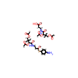 CC(=O)OCC(C)(C)C(OC(C)=O)C(=O)NCCC(=O)O.CC(=O)OCC(C)(C)C(OC(C)=O)C(=O)NCCC(=O)Sc1ccc(N)cc1